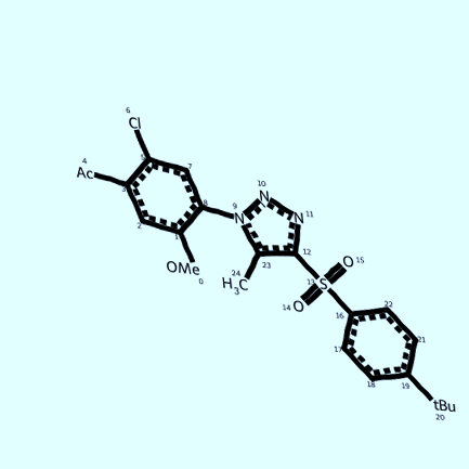 COc1cc(C(C)=O)c(Cl)cc1-n1nnc(S(=O)(=O)c2ccc(C(C)(C)C)cc2)c1C